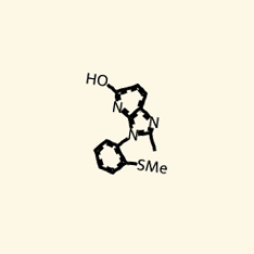 CSc1ccccc1-n1c(C)nc2ccc(O)nc21